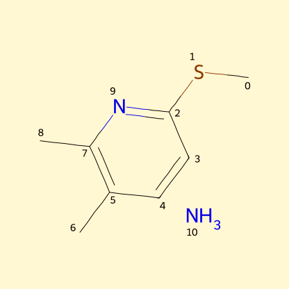 CSc1ccc(C)c(C)n1.N